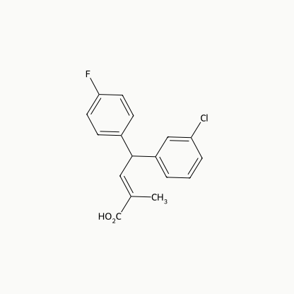 CC(=CC(c1ccc(F)cc1)c1cccc(Cl)c1)C(=O)O